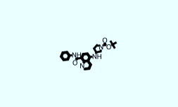 CC(C)(C)OC(=O)N1CCC(Nc2ccc(C(=O)Nc3ccccc3)c3ncccc23)C1